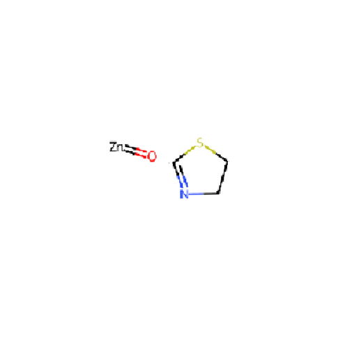 [C]1=NCCS1.[O]=[Zn]